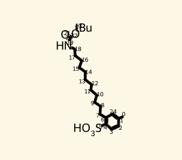 Cc1ccc(S(=O)(=O)O)c(CCCCCCCCCCCCNC(=O)OC(C)(C)C)c1